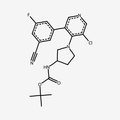 CC(C)(C)OC(=O)NC1CCN(c2c(Cl)cncc2-c2cc(F)cc(C#N)c2)C1